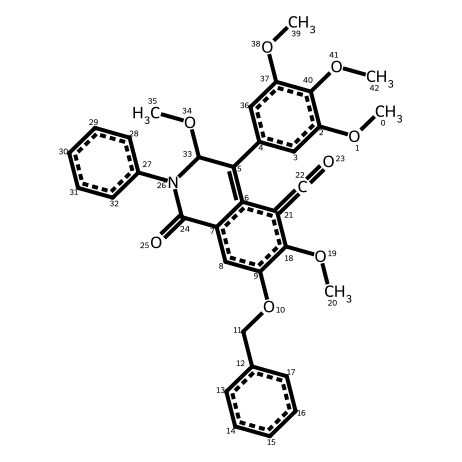 COc1cc(C2=c3c(cc(OCc4ccccc4)c(OC)c3=C=O)C(=O)N(c3ccccc3)C2OC)cc(OC)c1OC